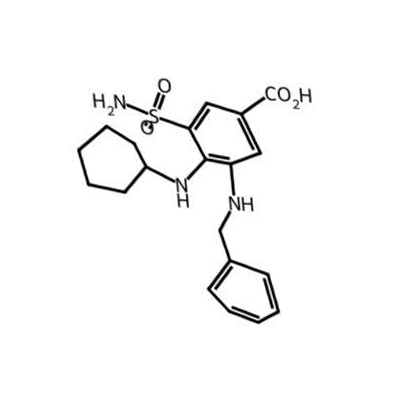 NS(=O)(=O)c1cc(C(=O)O)cc(NCc2ccccc2)c1NC1CCCCC1